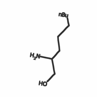 CCCCCCCC(N)CO